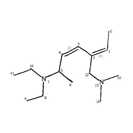 C/C=C(\C=C/C(C)N(CC)CC)CN(C)C